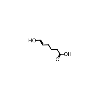 O=C(O)CCCC=CO